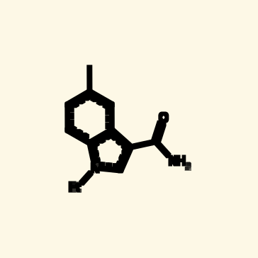 CCn1cc(C(N)=O)c2cc(C)ccc21